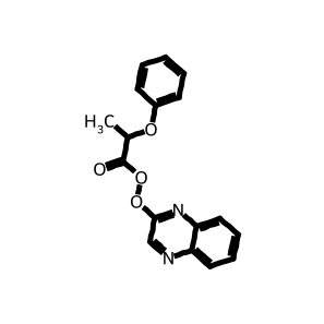 CC(Oc1ccccc1)C(=O)OOc1cnc2ccccc2n1